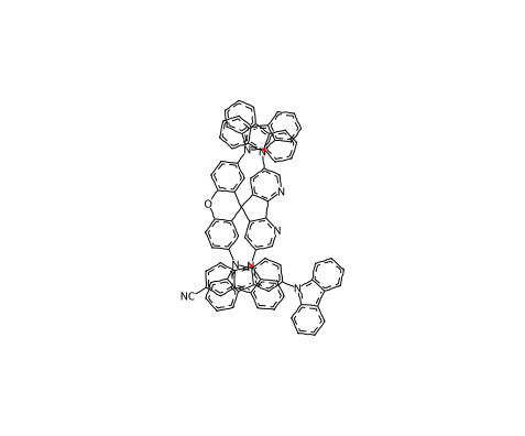 N#Cc1ccc2c(c1)c1ccccc1n2-c1cnc2c(c1)C1(c3cc(-n4c5ccccc5c5ccccc54)ccc3Oc3ccc(-n4c5ccccc5c5cc(-n6c7ccccc7c7ccccc76)ccc54)cc31)c1cc(-n3c4ccccc4c4ccccc43)cnc1-2